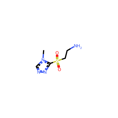 Cn1cnnc1S(=O)(=O)CCN